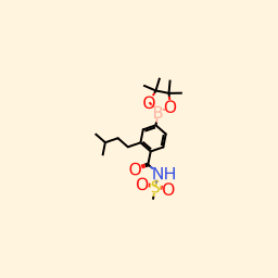 CC(C)CCc1cc(B2OC(C)(C)C(C)(C)O2)ccc1C(=O)NS(C)(=O)=O